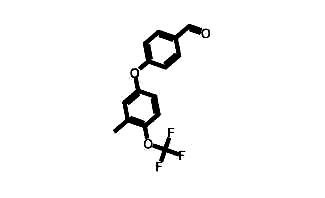 Cc1cc(Oc2ccc(C=O)cc2)ccc1OC(F)(F)F